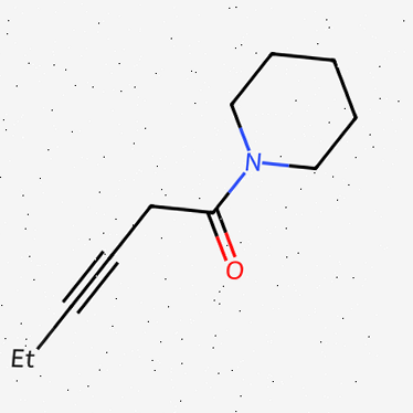 [CH2]CC#CCC(=O)N1CCCCC1